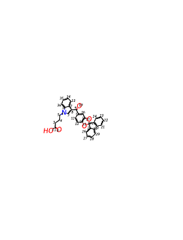 O=C(O)CCCn1cc(C(=O)c2ccc3c(c2)OC(c2ccccc2)(c2ccccc2)O3)c2ccccc21